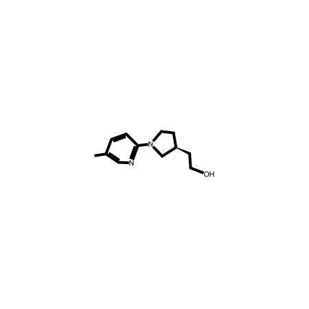 Cc1ccc(N2CC[C@@H](CCO)C2)nc1